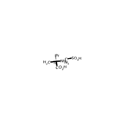 CC(C)[C@](C)(N)C(=O)O.CS(=O)(=O)O